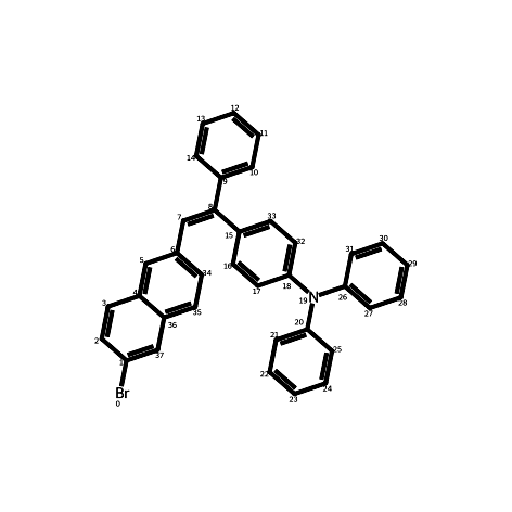 Brc1ccc2cc(C=C(c3ccccc3)c3ccc(N(c4ccccc4)c4ccccc4)cc3)ccc2c1